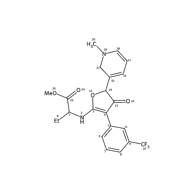 CCC(NC1=C(c2cccc(C(F)(F)F)c2)C(=O)C(C2=CC=CN(C)C2)O1)C(=O)OC